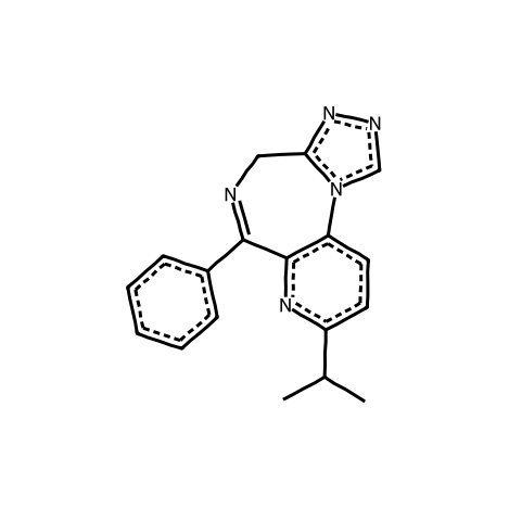 CC(C)c1ccc2c(n1)C(c1ccccc1)=NCc1nncn1-2